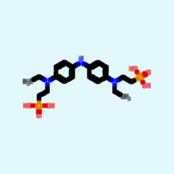 CCN(CCP(=O)(O)O)c1ccc(Nc2ccc(N(CC)CCP(=O)(O)O)cc2)cc1